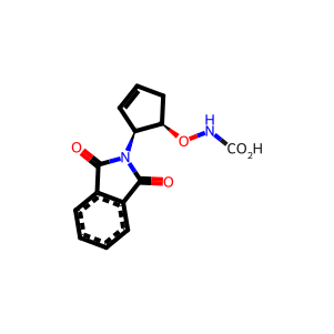 O=C(O)NO[C@@H]1CC=C[C@@H]1N1C(=O)c2ccccc2C1=O